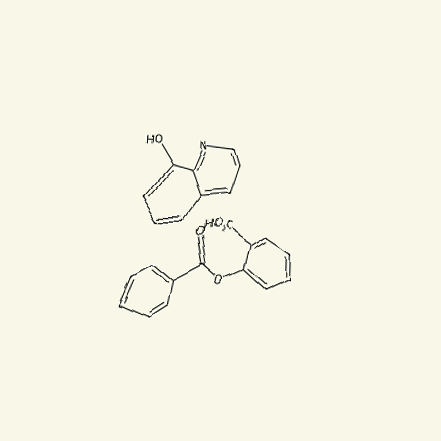 O=C(Oc1ccccc1C(=O)O)c1ccccc1.Oc1cccc2cccnc12